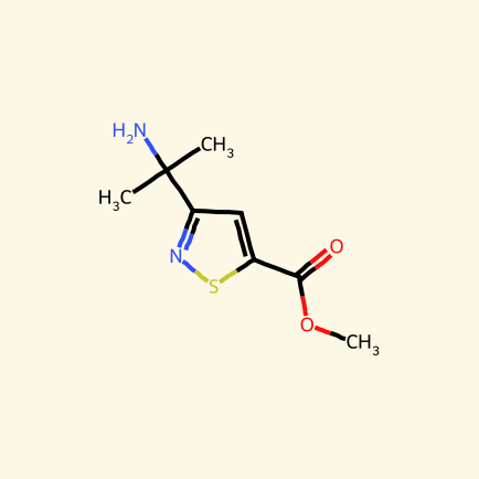 COC(=O)c1cc(C(C)(C)N)ns1